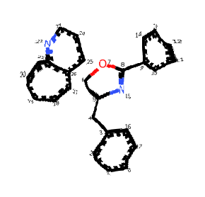 c1ccc(C[C@H]2COC(c3ccccc3)=N2)cc1.c1ccc2ncccc2c1